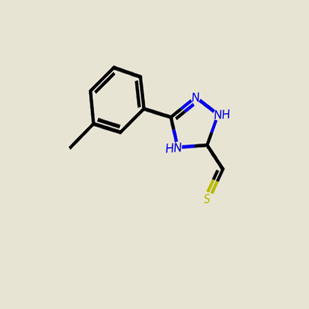 Cc1cccc(C2=NNC(C=S)N2)c1